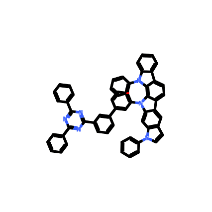 c1ccc(-c2nc(-c3ccccc3)nc(-c3cccc(-c4cccc(-n5c6cc7c(ccn7-c7ccccc7)cc6c6ccc7c8ccccc8n(-c8ccccc8)c7c65)c4)c3)n2)cc1